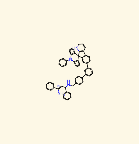 N/C(=C\C(NCc1ccc(-c2cccc(-c3ccc4c(c3)C3(C5=C4C=CCN5)c4ccccc4N(c4ccccc4)c4ccccc43)c2)cc1)c1ccccc1)c1ccccc1